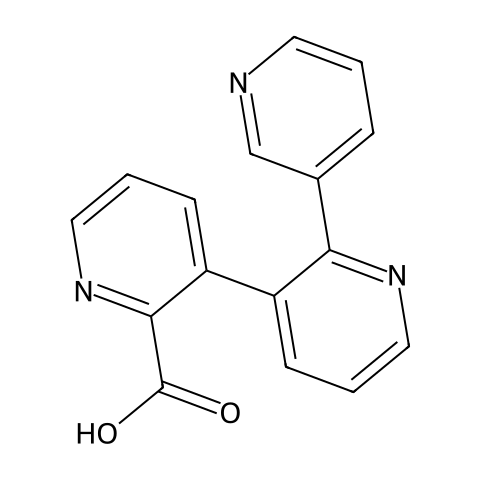 O=C(O)c1ncccc1-c1cccnc1-c1cccnc1